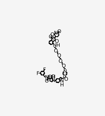 CN1C(=O)CCC(N2C(=O)c3cccc(NCCOCCOCCOCCOCCN4CCN(C(=O)c5cc6cc(N7CCC(O)(C(=O)NCc8cc(F)cc(F)c8)C7=O)ccc6[nH]5)CC4)c3C2=O)C1=O